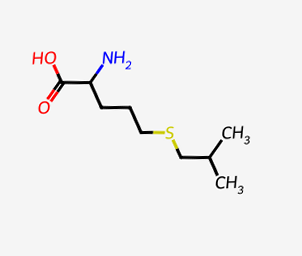 CC(C)CSCCCC(N)C(=O)O